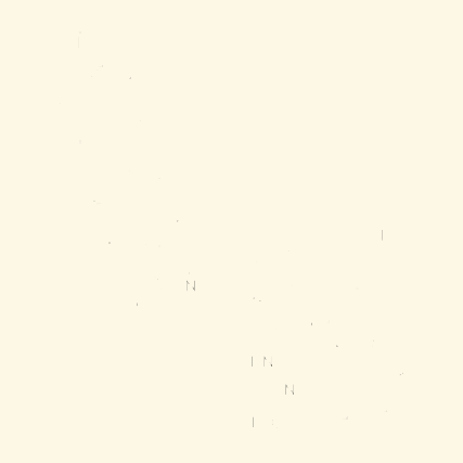 CN(NC(=O)C1(C2C=CC(F)=CC2)CCN(C(=O)c2ccc(-c3ccc(F)cc3)cc2)CC1)c1ccccc1